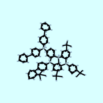 CC(C)(C)c1ccc(N2c3ccc(C(C)(C)C)cc3B3c4ccc(N(c5ccc(-c6ccccc6)cc5)c5ccc(-c6ccccc6)cc5)cc4N(c4ccc5c(c4)C(C)(C)c4ccccc4-5)c4cc(C(C)(C)C)cc2c43)cc1